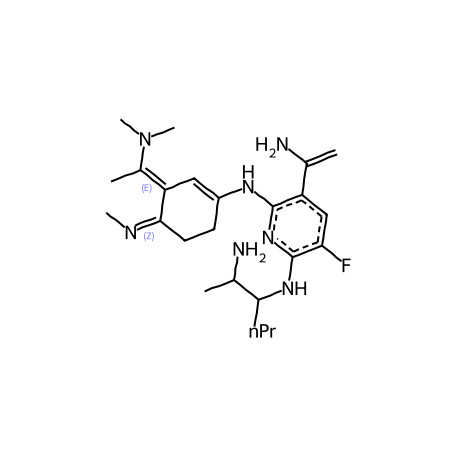 C=C(N)c1cc(F)c(NC(CCC)C(C)N)nc1NC1=CC(=C(/C)N(C)C)/C(=N\C)CC1